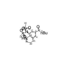 CCCCC(=O)c1cc2c(c(N(S(C)(=O)=O)S(C)(=O)=O)c1)NCCC2